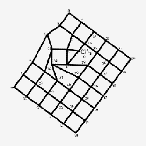 CC12C34C5CC3C3C6C7CC8C9C%10C%11CC%12C%13C%14C%15C%16CC%17C%18C5C45C%184C%17%16C%15%16C%14%15C%13%14C%11%12C%10%11C9%10C87C67C31C13C25C4%16C%151C%11%14C%1073